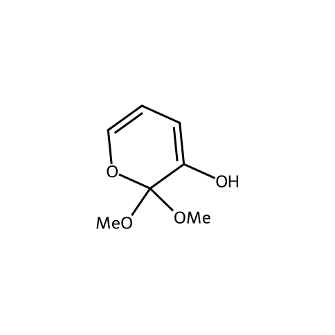 COC1(OC)OC=CC=C1O